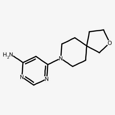 Nc1cc(N2CCC3(CCOC3)CC2)ncn1